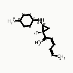 C=C(/C=C\C=C/C)[C@@]1(F)C[C@@H]1NC1CCC(N)CC1